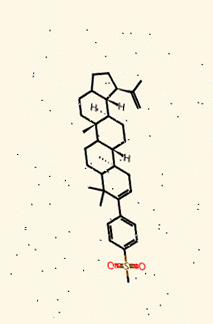 C=C(C)[C@@H]1CCC2CC[C@@]3(C)C4CCC5C(C)(C)C(c6ccc(S(C)(=O)=O)cc6)=CC[C@]5(C)[C@H]4CC[C@@H]3[C@H]21